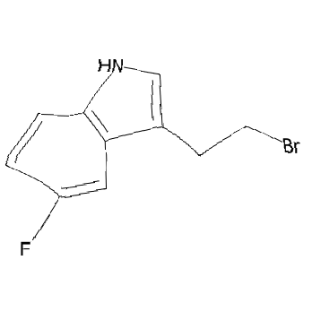 Fc1ccc2[nH]cc(CCBr)c2c1